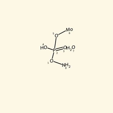 NOP(=O)(O)[O][Mo].O